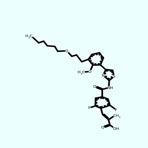 CCCCCCOCCCc1cccc(-c2csc(NC(=O)c3cc(F)c(C=C(C)C(=O)O)c(F)c3)n2)c1OC